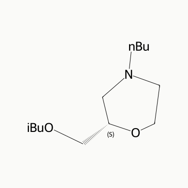 CCCCN1CCO[C@H](COCC(C)C)C1